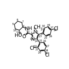 Cn1c(C(=O)NC2CCCC[C@@H]2O)nc(-c2ccc(Cl)cc2Cl)c1-c1ccc(Cl)cc1